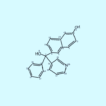 Oc1ccc2cc(C(O)(c3ccccc3)c3cccnc3)ccc2c1